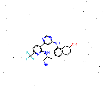 C[C@@H](CN)Nc1nc(C(F)(F)F)ccc1-c1cc(Nc2cccc3c2C[C@@H](O)CC3)ncn1